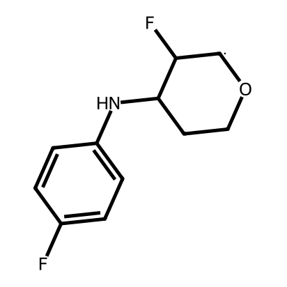 Fc1ccc(NC2CCO[CH]C2F)cc1